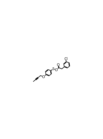 CC#CCOc1ccc(SOC(=O)Cc2cccc(Cl)c2)cc1